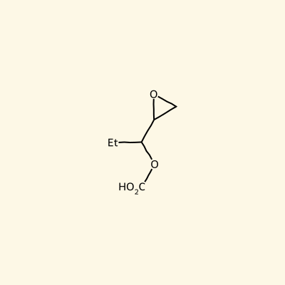 CCC(OC(=O)O)C1CO1